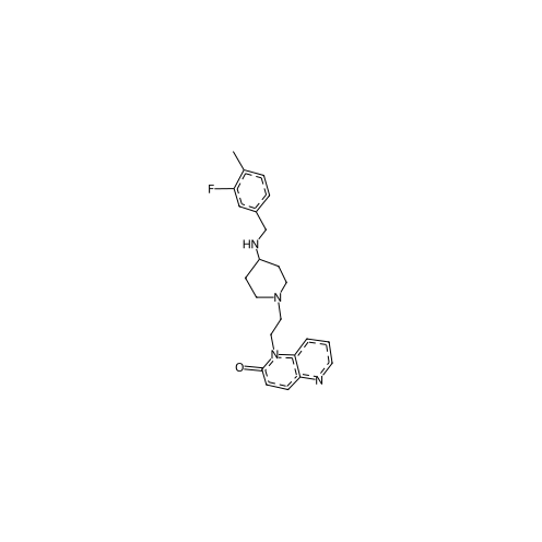 Cc1ccc(CNC2CCN(CCn3c(=O)ccc4ncccc43)CC2)cc1F